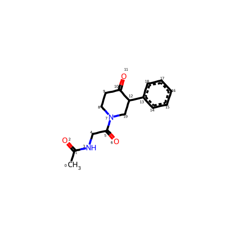 CC(=O)NCC(=O)N1CCC(=O)C(c2ccccc2)C1